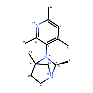 Cc1cc(C)c(N2[C@@H](C)N3CCC2(C)C3)c(C)n1